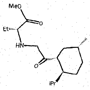 CC[C@@H](NCC(=O)[C@@H]1C[C@H](C)CC[C@H]1C(C)C)C(=O)OC